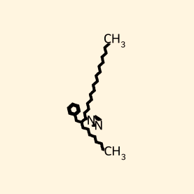 CCCCCCCCCCCCCCCCCC(C(CCCCCCCC)Cc1ccccc1)n1ccnc1